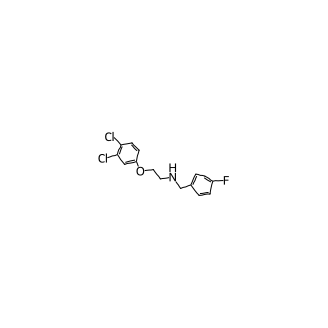 Fc1ccc(CNCCOc2ccc(Cl)c(Cl)c2)cc1